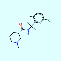 Cc1ccc(Cl)cc1C(C)(C)NC(=O)[C@H]1CCCN(C)C1